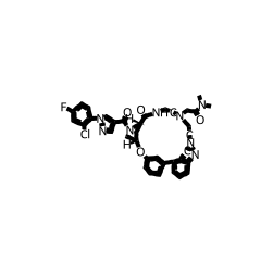 CN(C)C(=O)CN1CCNC(=O)[C@@H]2C[C@@H](CN2C(=O)c2cnn(-c3ccc(F)cc3Cl)c2)Oc2cccc(c2)-c2cccc3nn(cc23)CC1